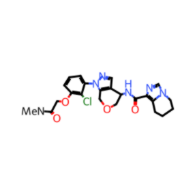 CNC(=O)COc1cccc(-n2ncc3c2COCC3NC(=O)c2ncn3c2CCCC3)c1Cl